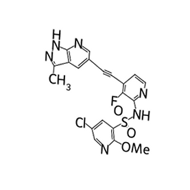 COc1ncc(Cl)cc1S(=O)(=O)Nc1nccc(C#Cc2cnc3[nH]nc(C)c3c2)c1F